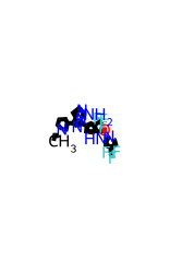 CC=CN1CCCC(c2nc(-c3ccc(C(=O)Nc4cc(C(F)(F)F)ccn4)c(C(F)(F)F)c3)n3c(N)nccc23)C1